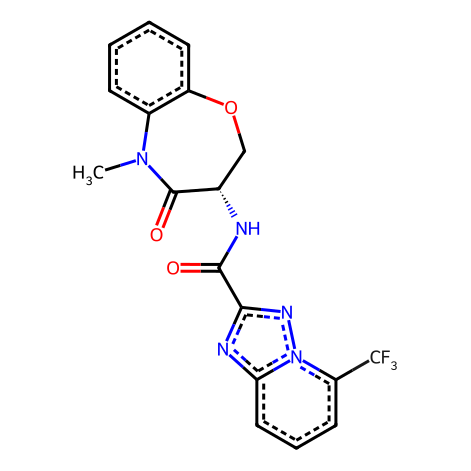 CN1C(=O)[C@@H](NC(=O)c2nc3cccc(C(F)(F)F)n3n2)COc2ccccc21